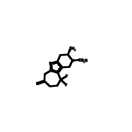 C[C@@H]1Cc2nn3c(c2CN1C(=O)O)C(F)(F)CCC(=O)C3